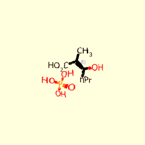 CCC/C(O)=C(/C)C(=O)O.O=P(O)(O)O